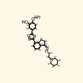 CC(C)Oc1ccc(-c2nc(-c3cccc4c3CC/C4=N/OCCN3CCCCC3)no2)cc1C#N